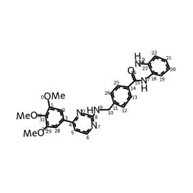 COc1cc(-c2ccnc(NCc3ccc(C(=O)Nc4ccccc4N)cc3)n2)cc(OC)c1OC